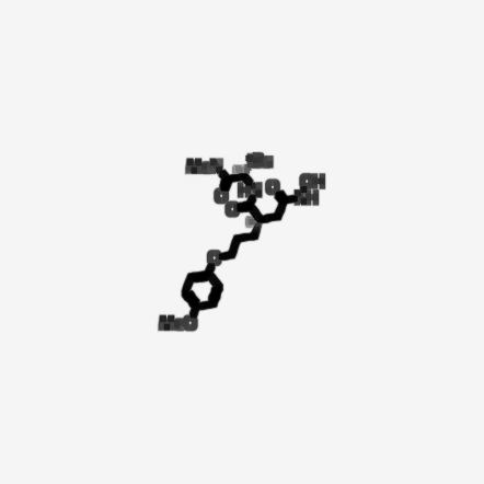 CNC(=O)[C@@H](NC(=O)[C@H](CCCOc1ccc(OC)cc1)CC(=O)NO)C(C)(C)C